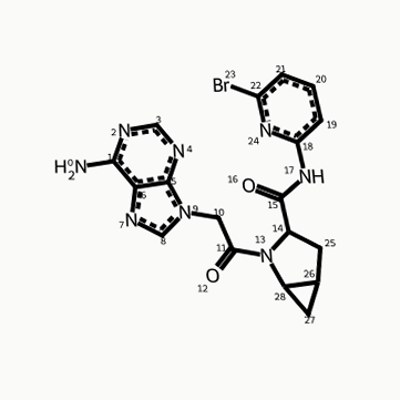 Nc1ncnc2c1ncn2CC(=O)N1C(C(=O)Nc2cccc(Br)n2)CC2CC21